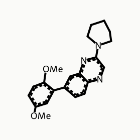 COc1ccc(OC)c(-c2ccc3ncc(N4CCCCC4)nc3c2)c1